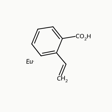 C=Cc1ccccc1C(=O)O.[Eu]